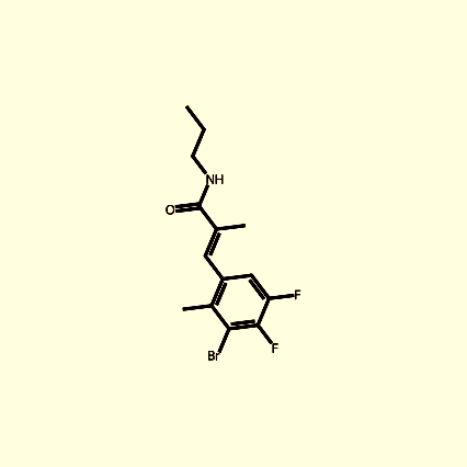 CCCNC(=O)/C(C)=C/c1cc(F)c(F)c(Br)c1C